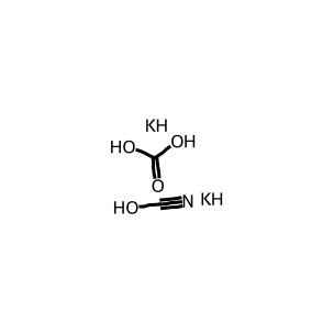 N#CO.O=C(O)O.[KH].[KH]